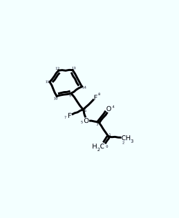 C=C(C)C(=O)OC(F)(F)c1ccccc1